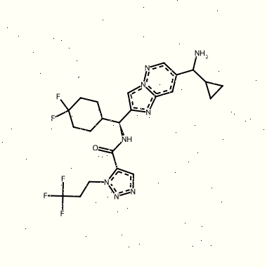 NC(c1cnn2cc([C@@H](NC(=O)c3cnnn3CCC(F)(F)F)C3CCC(F)(F)CC3)nc2c1)C1CC1